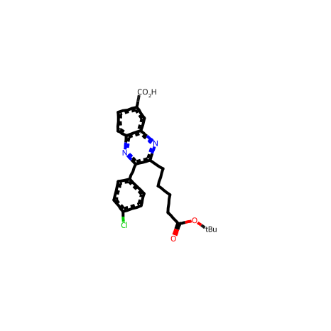 CC(C)(C)OC(=O)CCCCc1nc2cc(C(=O)O)ccc2nc1-c1ccc(Cl)cc1